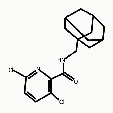 O=C(NCC12CC3CC(CC(C3)C1)C2)c1nc(Cl)ccc1Cl